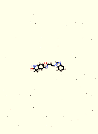 CC1(C)C(=O)Nc2cc3oc(C=Cn4cnc5ccccc54)nc3cc21